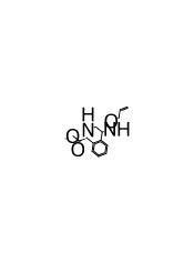 C=CCON[C@H]1CN[C@H](C(=O)OC)c2ccccc21